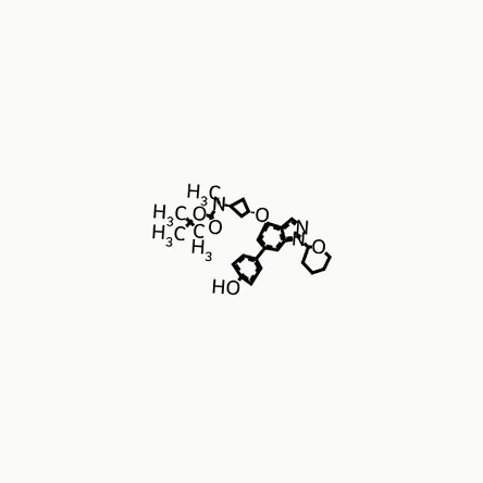 CN(C(=O)OC(C)(C)C)[C@H]1C[C@H](Oc2cc(-c3ccc(O)cc3)cc3c2cnn3C2CCCCO2)C1